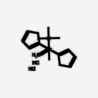 C[Si](C)(C)[Zr]([CH3])(=[SiH2])([C]1=CC=CC1)[C]1=CC=CC1.Cl.Cl